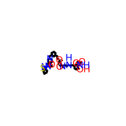 CN(CCNCCc1ccc(O)c2c1OCC(=O)N2)C(=O)CCOCCc1cccc(CN2CCC3(CC2)CN(c2nsc4ccccc24)CCO3)c1